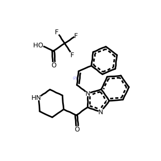 O=C(O)C(F)(F)F.O=C(c1nc2ccccc2n1/C=C\c1ccccc1)C1CCNCC1